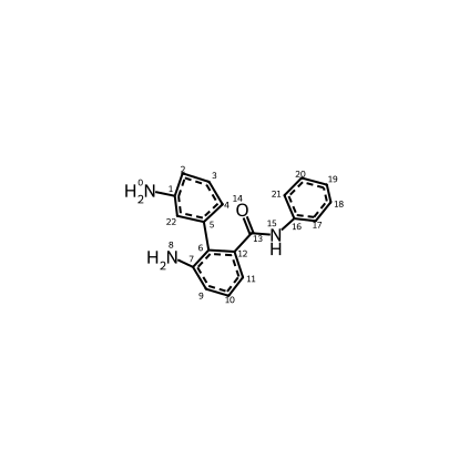 Nc1cccc(-c2c(N)cccc2C(=O)Nc2ccccc2)c1